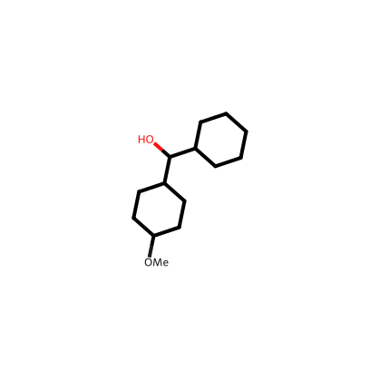 COC1CCC(C(O)C2CCCCC2)CC1